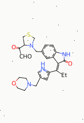 CCC(=C1C(=O)Nc2ccc(CN3CSCC3C(=O)C=O)cc21)c1cc(CN2CCOCC2)c[nH]1